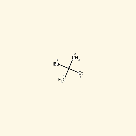 CCC(C)C(C)(CC)C(F)(F)F